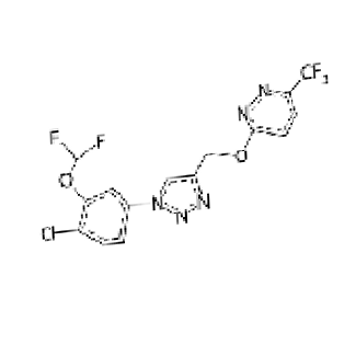 FC(F)Oc1cc(-n2cc(COc3ccc(C(F)(F)F)nn3)nn2)ccc1Cl